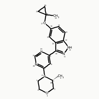 C[C@@H]1COCCN1c1cc(-c2n[nH]c3ccc(OC4(C)CC4)cc23)ncn1